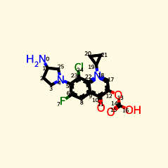 NC1CCN(c2c(F)cc3c(=O)c(OC(=O)O)cn(C4CC4)c3c2Cl)C1